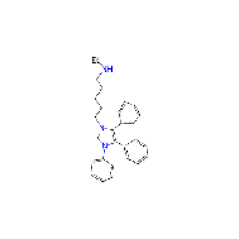 CCNCCCCCN1CN(c2ccccc2)C(c2ccccc2)=C1c1ccccc1